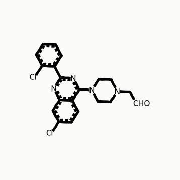 O=CCN1CCN(c2nc(-c3ccccc3Cl)nc3cc(Cl)ccc23)CC1